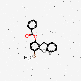 CSc1ccc(OC(=O)c2ccccc2)c(Cc2ccccc2)c1C